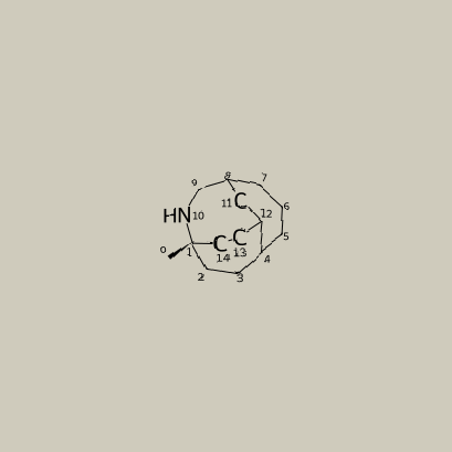 C[C@@]12CCC3CCCC(CN1)CC3CC2